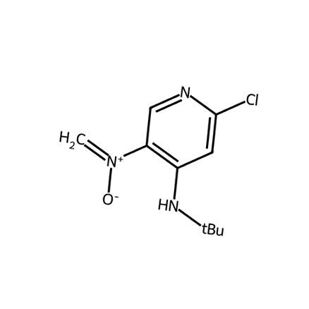 C=[N+]([O-])c1cnc(Cl)cc1NC(C)(C)C